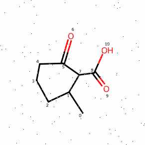 CC1CCCC(=O)C1C(=O)O